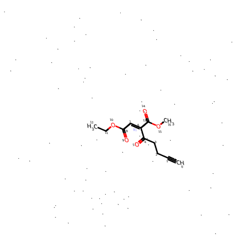 C#CCCC(=O)/C(=C\C(=O)OCC)C(=O)OC